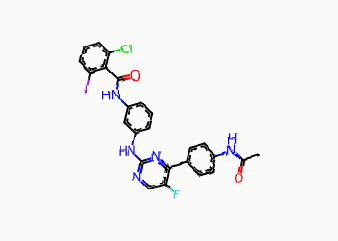 CC(=O)Nc1ccc(-c2nc(Nc3cccc(NC(=O)c4c(Cl)cccc4I)c3)ncc2F)cc1